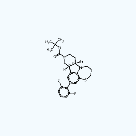 CC(C)(C)OC(=O)N1CC[C@H]2[C@@H](C1)c1cc(-c3c(F)cccc3F)cc3c1N2CCCS3